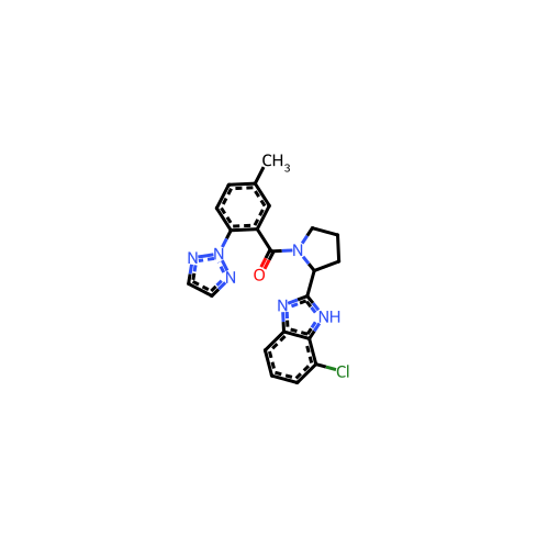 Cc1ccc(-n2nccn2)c(C(=O)N2CCCC2c2nc3cccc(Cl)c3[nH]2)c1